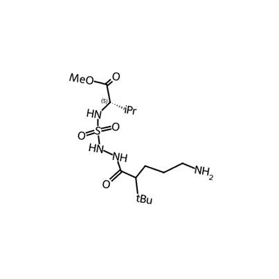 COC(=O)[C@@H](NS(=O)(=O)NNC(=O)C(CCCN)C(C)(C)C)C(C)C